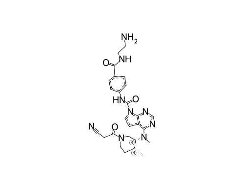 C[C@@H]1CCN(C(=O)CC#N)C[C@@H]1N(C)c1ncnc2c1ccn2C(=O)Nc1ccc(C(=O)NCCN)cc1